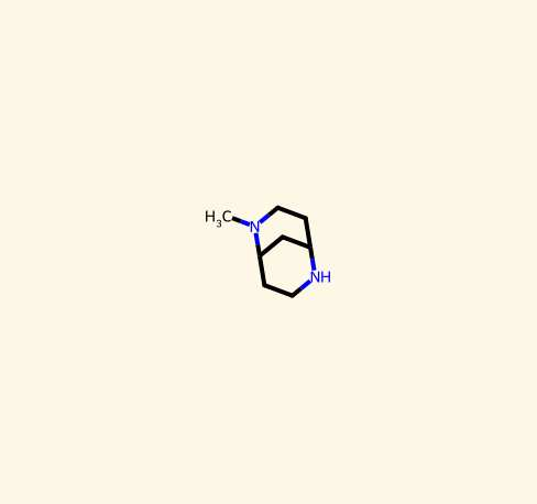 CN1CCC2CC1CCN2